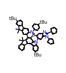 CC(C)(C)c1ccc(N2B3c4cc5nc(-c6ccccc6)n(-c6ccccc6)c5cc4-n4c5ccc(C(C)(C)C)cc5c5c6c(c(c3c54)-c3cc4c(cc32)-c2ccc(C(C)(C)C)cc2C4(C)C)C(C)(C)c2ccccc2-6)cc1